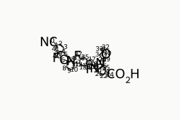 N#Cc1ccc(COc2cccc(-c3cc(F)c(Cc4nc5ccc(C(=O)O)cc5n4C4COC5(CC5)C4)cc3F)n2)c(F)c1